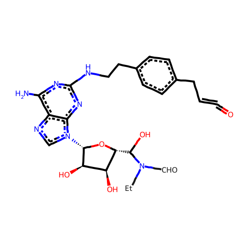 CCN(C=O)C(O)[C@H]1O[C@@H](n2cnc3c(N)nc(NCCc4ccc(CC=C=O)cc4)nc32)[C@H](O)[C@@H]1O